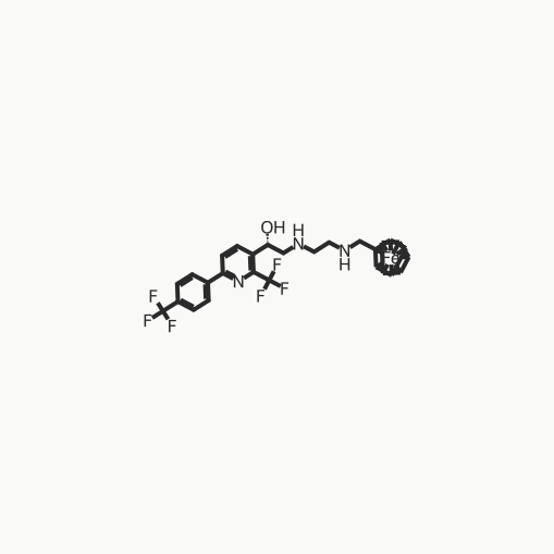 O[C@H](CNCCNC[C]12[CH]3[CH]4[CH]5[CH]1[Fe]45321678[CH]2[CH]1[CH]6[CH]7[CH]28)c1ccc(-c2ccc(C(F)(F)F)cc2)nc1C(F)(F)F